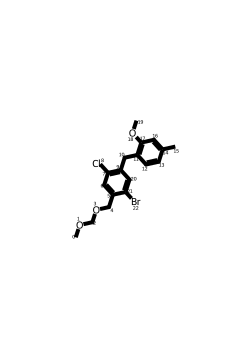 COCOCc1cc(Cl)c(Cc2ccc(C)cc2OC)cc1Br